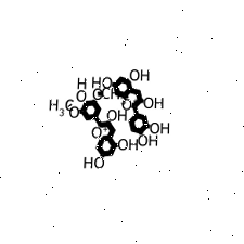 COc1cc(-c2[o+]c3cc(O)cc(O)c3cc2O)cc(OC)c1O.Oc1cc(O)c2cc(O)c(-c3ccc(O)c(O)c3)[o+]c2c1